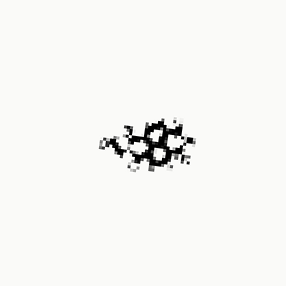 CN1C(=O)c2ccc3c4c(ccc(c24)C1=O)C(=O)N(CCO)C3=O